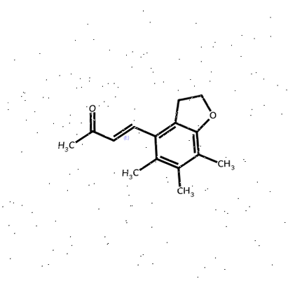 CC(=O)/C=C/c1c(C)c(C)c(C)c2c1CCO2